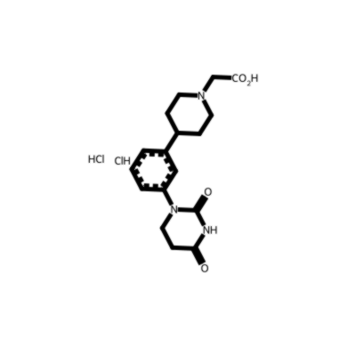 Cl.Cl.O=C(O)CN1CCC(c2cccc(N3CCC(=O)NC3=O)c2)CC1